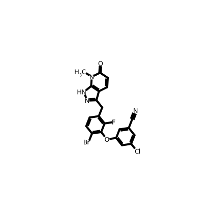 Cn1c(=O)ccc2c(Cc3ccc(Br)c(Oc4cc(Cl)cc(C#N)c4)c3F)n[nH]c21